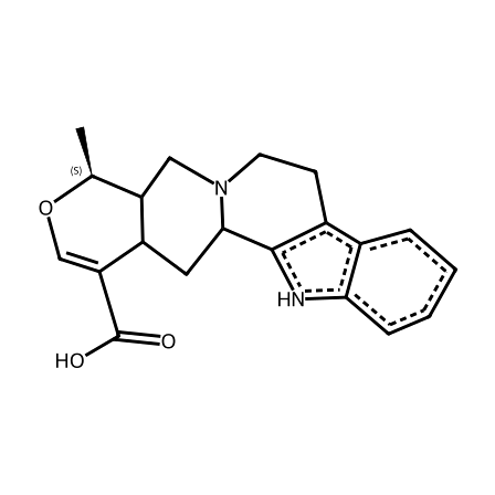 C[C@@H]1OC=C(C(=O)O)C2CC3c4[nH]c5ccccc5c4CCN3CC21